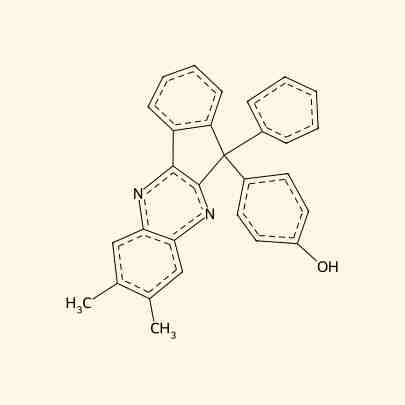 Cc1cc2nc3c(nc2cc1C)C(c1ccccc1)(c1ccc(O)cc1)c1ccccc1-3